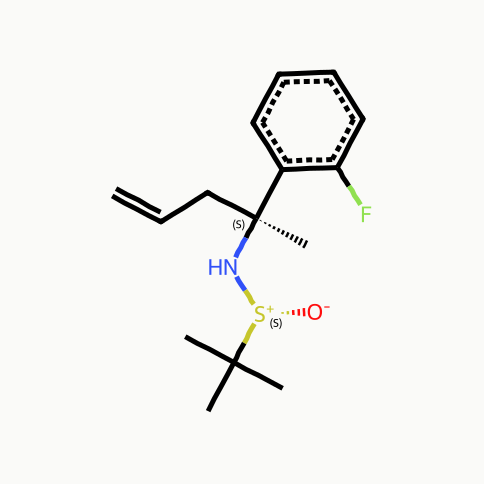 C=CC[C@](C)(N[S@+]([O-])C(C)(C)C)c1ccccc1F